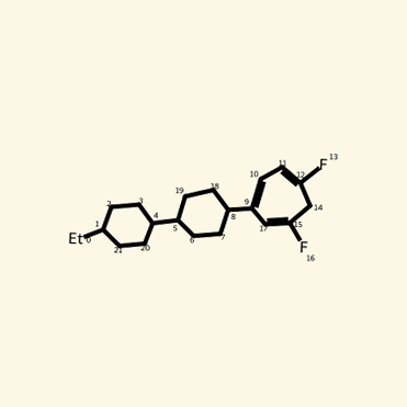 CCC1CCC(C2CCC(C3=CC=C(F)CC(F)=C3)CC2)CC1